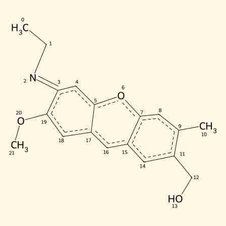 CC/N=c1\cc2oc3cc(C)c(CO)cc3cc-2cc1OC